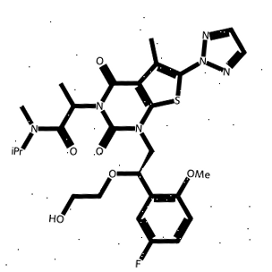 COc1ccc(F)cc1[C@H](Cn1c(=O)n(C(C)C(=O)N(C)C(C)C)c(=O)c2c(C)c(-n3nccn3)sc21)OCCO